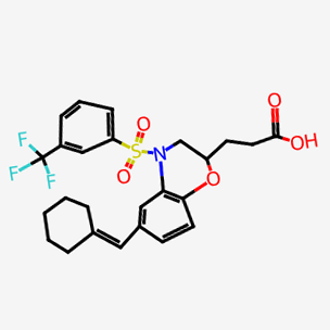 O=C(O)CCC1CN(S(=O)(=O)c2cccc(C(F)(F)F)c2)c2cc(C=C3CCCCC3)ccc2O1